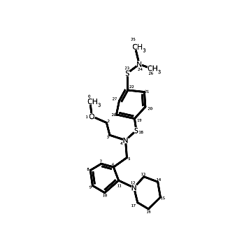 COCCN(Cc1ccccc1N1CCCCC1)Sc1ccc(SN(C)C)cc1